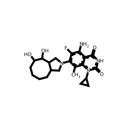 Cc1c(N2CC3CCCCC(O)C(O)C3C2)c(F)c(N)c2c(=O)[nH]c(=O)n(C3CC3)c12